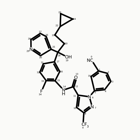 N#Cc1cccc(-n2nc(C(F)(F)F)cc2C(=O)Nc2cc(C(O)(CCC3CC3)c3cccnc3)ccc2F)c1